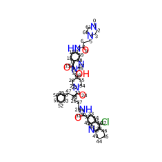 CN1CCN(CCC(=O)Nc2ccc3c(=O)n(CC4(O)CCN(C(=O)[C@H](CCCNC(=O)c5ccc6c(Cl)c7c(nc6c5)CCCC7)Cc5ccccc5)CC4)cnc3c2)CC1